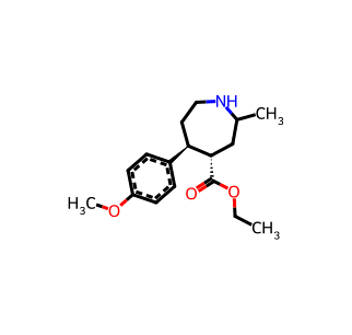 CCOC(=O)[C@H]1CC(C)NCC[C@@H]1c1ccc(OC)cc1